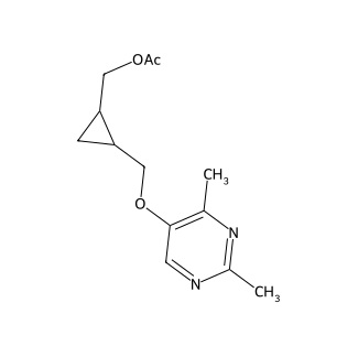 CC(=O)OCC1CC1COc1cnc(C)nc1C